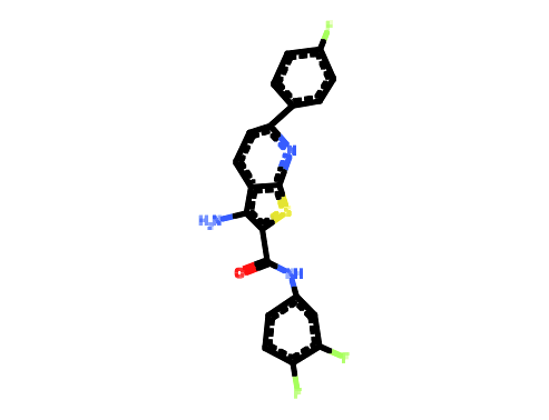 Nc1c(C(=O)Nc2ccc(F)c(F)c2)sc2nc(-c3ccc(F)cc3)ccc12